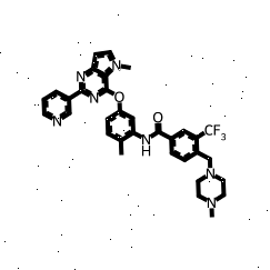 Cc1ccc(Oc2nc(-c3cccnc3)nc3ccn(C)c23)cc1NC(=O)c1ccc(CN2CCN(C)CC2)c(C(F)(F)F)c1